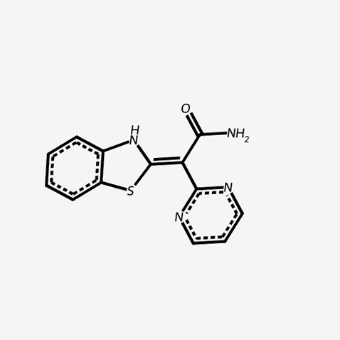 NC(=O)/C(=C1\Nc2ccccc2S1)c1ncccn1